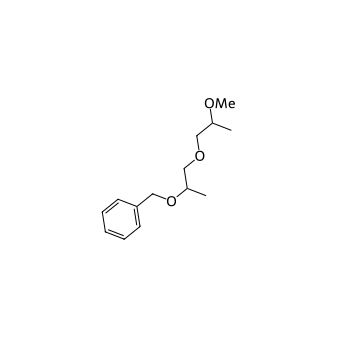 COC(C)COCC(C)OCc1ccccc1